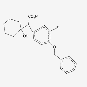 O=C(O)C(c1ccc(OCc2ccccc2)c(F)c1)C1(O)CCCCC1